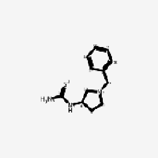 NC(=S)NC1CCN(Cc2ccccc2)C1